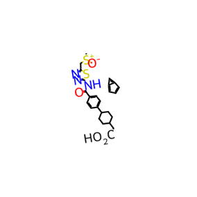 C[S+]([O-])Cc1nnc(NC(=O)c2ccc(C3CCC(CC(=O)O)CC3)cc2)s1.c1cc2cc-2c1